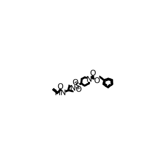 C=CC(=O)NC1CN(S(=O)(=O)C2CCN(C(=O)OCc3ccccc3)CC2)C1